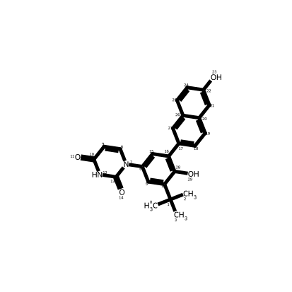 CC(C)(C)c1cc(-n2ccc(=O)[nH]c2=O)cc(-c2ccc3cc(O)ccc3c2)c1O